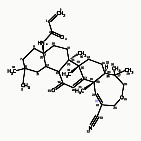 C=CC(=O)N[C@]12CCC(C)(C)CC1C1C(=O)C=C3[C@@]4(C)/C=C(/C#N)COCC(C)(C)[C@@H]4CC[C@@]3(C)[C@]1(C)CC2